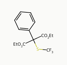 CCOC(=O)C(SC(F)(F)F)(C(=O)OCC)c1ccccc1